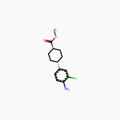 CC(C)OC(=O)[C@H]1CC[C@H](c2ccc(N)c(Cl)c2)CC1